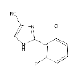 N#Cc1c[nH]c(-c2c(F)cccc2Cl)n1